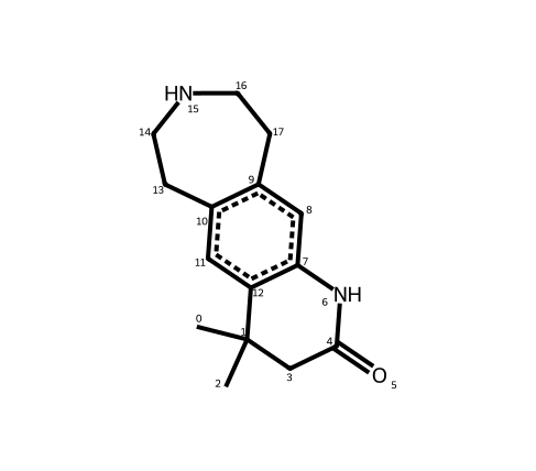 CC1(C)CC(=O)Nc2cc3c(cc21)CCNCC3